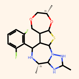 CC1NC2[C@H](C)NC(c3c(F)cccc3F)C3C4COC[C@H](C)OC4SC3N2N1